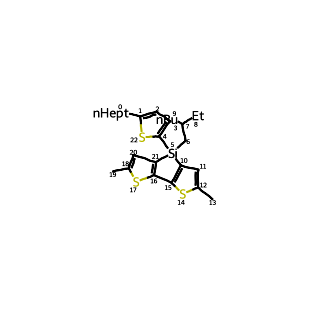 CCCCCCCc1ccc([Si]2(CC(CC)CCCC)c3cc(C)sc3-c3sc(C)cc32)s1